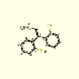 O=CC=C(c1ccccc1F)c1ccccc1F